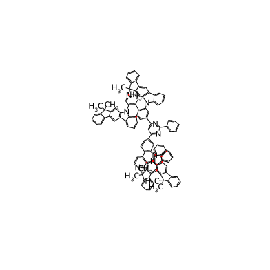 CC1(C)c2ccccc2-c2cc3c4ccccc4n(-c4cnccc4-c4ccc(-c5cc(-c6ccc(-c7ccncc7-n7c8ccccc8c8cc9c(cc87)C(C)(C)c7ccccc7-9)c(-n7c8ccccc8c8cc9c(cc87)C(C)(C)c7ccccc7-9)c6)nc(-c6ccccc6)n5)cc4-n4c5ccccc5c5cc6c(cc54)C(C)(C)c4ccccc4-6)c3cc21